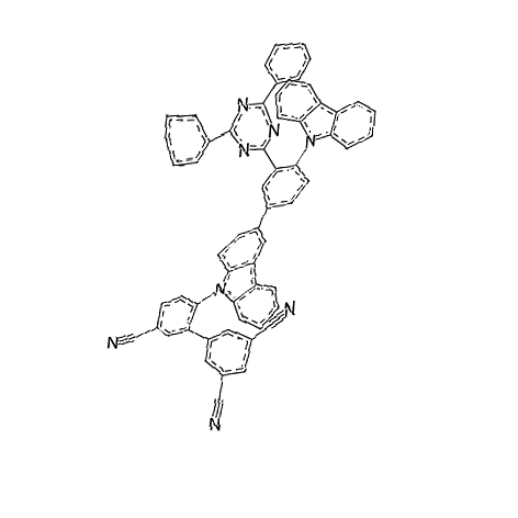 N#Cc1cc(C#N)cc(-c2cc(C#N)ccc2-n2c3ccccc3c3cc(-c4ccc(-n5c6ccccc6c6ccccc65)c(-c5nc(-c6ccccc6)nc(-c6ccccc6)n5)c4)ccc32)c1